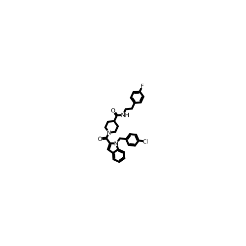 O=C(NCCc1ccc(F)cc1)C1CCN(C(=O)c2cc3ccccc3n2Cc2ccc(Cl)cc2)CC1